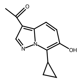 CC(=O)c1cnn2c(C3CC3)c(O)ccc12